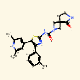 Cc1cc(-c2sc(NC(=O)N3CC4(CCNC4=O)C3)nc2-c2cccc(C#N)c2)cc(C)n1